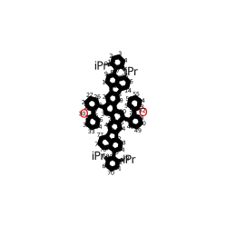 CC(C)c1cccc(C(C)C)c1-c1ccc2c3c(cccc13)-c1cc3c(cc1-2)c(-c1cccc2oc4ccccc4c12)cc1c2cc4c(cc2c(-c2cccc5oc6ccccc6c25)cc31)-c1ccc(-c2c(C(C)C)cccc2C(C)C)c2cccc-4c12